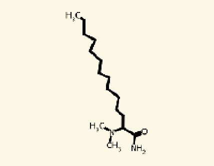 CCCCCCCCCCCCC(C(N)=O)N(C)C